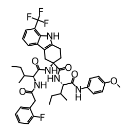 CCC(C)[C@H](NC(=O)Cc1ccccc1F)C(=O)N[C@]1(C(=O)N[C@H](C(=O)Nc2ccc(OC)cc2)C(C)CC)CCc2[nH]c3c(C(F)(F)F)cccc3c2C1